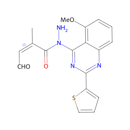 COc1cccc2nc(-c3cccs3)nc(N(N)C(=O)/C(C)=C\C=O)c12